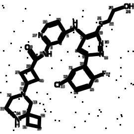 O=C(Nc1cc(Nc2cc(-c3cc(Cl)ccc3F)nnc2SCCO)ccn1)C1CC(N2CCNC3(CCC3)C2)C1